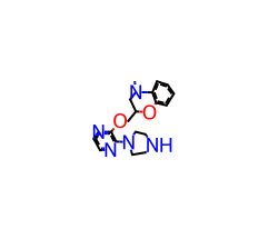 CN1CC(COc2nccnc2N2CCNCC2)Oc2ccccc21